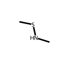 CNSC